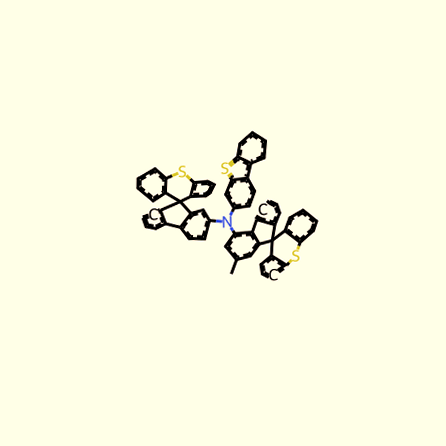 Cc1cc(N(c2ccc3c(c2)C2(c4ccccc4Sc4ccccc42)c2ccccc2-3)c2ccc3c(c2)sc2ccccc23)c2c(c1)C1(c3ccccc3Sc3ccccc31)c1ccccc1-2